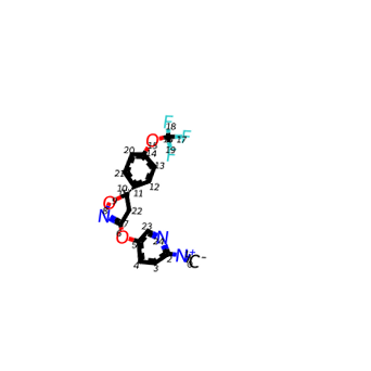 [C-]#[N+]c1ccc(OC2=NO[C@H](c3ccc(OC(F)(F)F)cc3)C2)cn1